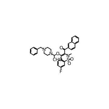 CN1C(C(=O)c2ccc3ccccc3c2)=C(OC(C=O)N2CCN(Cc3ccccc3)CC2)c2ccc(F)cc2S1(=O)=O